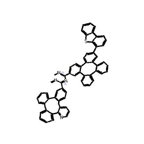 C=N/C(=N\C(=N/C)c1ccc2c(c1)-c1ccccc1-c1ccccc1-c1cc(-c3cccc4c3sc3ccccc34)ccc1-2)c1ccc2c(c1)-c1ccccc1-c1ccccc1-c1ncccc1-2